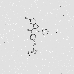 CC(C)(C)[N+]1=C(COc2ccc(C(=O)c3c(Cc4ccccc4)oc4ccc(Br)cc34)cc2)[C-]=C1